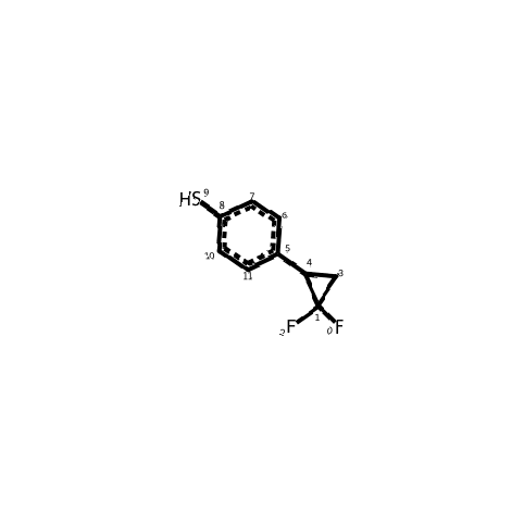 FC1(F)CC1c1ccc(S)cc1